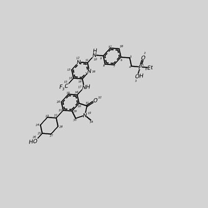 CCP(=O)(O)CCc1ccc(Nc2ncc(C(F)(F)F)c(Nc3ccc(C4CCC(O)CC4)c4c3C(=O)N(C)C4)n2)cc1